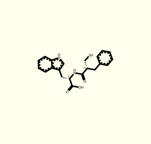 O=C(N[C@@H](Cc1c[nH]c2ccccc12)C(=O)O)[C@H](CS)Cc1ccccc1